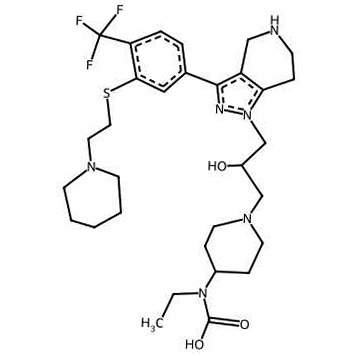 CCN(C(=O)O)C1CCN(CC(O)Cn2nc(-c3ccc(C(F)(F)F)c(SCCN4CCCCC4)c3)c3c2CCNC3)CC1